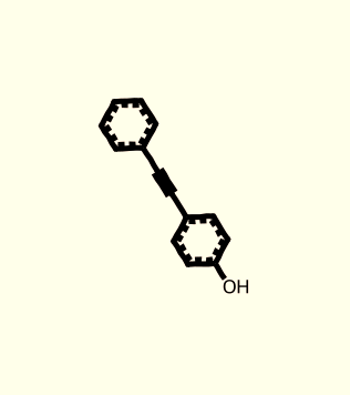 Oc1ccc(C#Cc2ccccc2)cc1